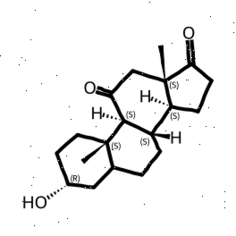 C[C@]12CC[C@@H](O)CC1CC[C@@H]1[C@@H]2C(=O)C[C@]2(C)C(=O)CC[C@@H]12